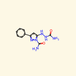 NC(=O)NNc1cc(-c2ccccc2)nn1C(N)=O